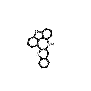 c1ccc2nc3c(cc2c1)[nH]c1cccc2oc4cccc3c4c12